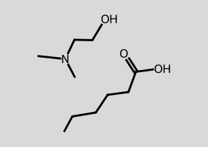 CCCCCC(=O)O.CN(C)CCO